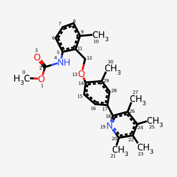 COC(=O)Nc1cccc(C)c1COc1ccc(-c2nc(C)c(C)c(C)c2C)cc1C